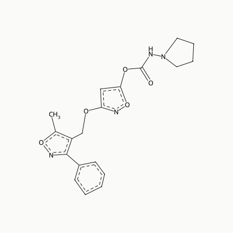 Cc1onc(-c2ccccc2)c1COc1cc(OC(=O)NN2CCCC2)on1